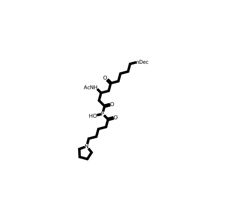 CCCCCCCCCCCCCCC(=O)CC(CC(=O)P(O)C(=O)CCCCN1CCCC1)NC(C)=O